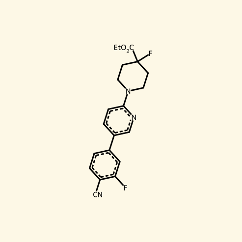 CCOC(=O)C1(F)CCN(c2ccc(-c3ccc(C#N)c(F)c3)cn2)CC1